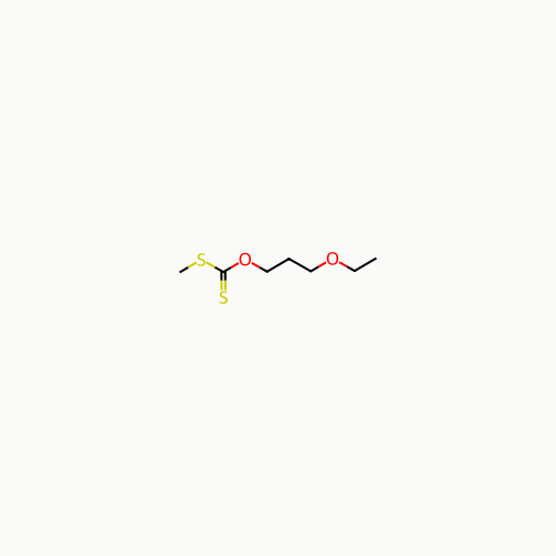 CCOCCCOC(=S)SC